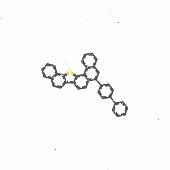 c1ccc(-c2ccc(-c3cc4ccccc4c4c3ccc3c5ccc6ccccc6c5sc34)cc2)cc1